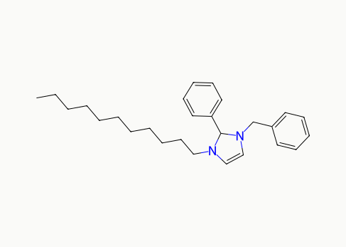 CCCCCCCCCCCN1C=CN(Cc2ccccc2)C1c1ccccc1